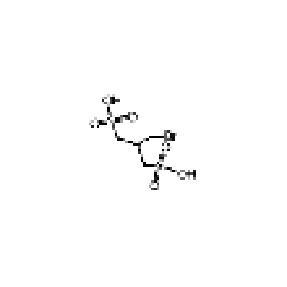 O=S(=O)(O)CC(CBr)CS(=O)(=O)O